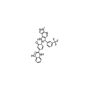 Cn1ncc2c3c(cnc21)C(c1cccc(C(F)(F)F)c1)N(C1C=CC(C(=O)Nc2ccccc2O)=CC1=O)N3